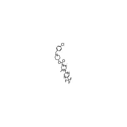 C[C@@H]1CN(c2cnc(C(F)(F)F)cn2)[C@@H](C)CN1C(=O)OC1CCN(Cc2ccc(Cl)cc2)CC1